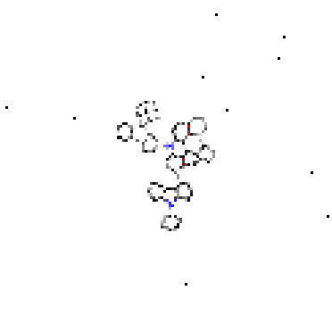 c1ccc(-n2c3ccccc3c3c(-c4ccc(N(c5ccc6c(c5)C5(c7ccccc7-6)C6CC7CC8CC5C786)c5ccccc5-c5cccc6cccc(C7CCCCC7)c56)cc4)cccc32)cc1